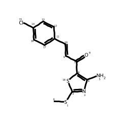 CSc1nc(N)c(C(=O)C=Cc2ccc(Cl)cc2)s1